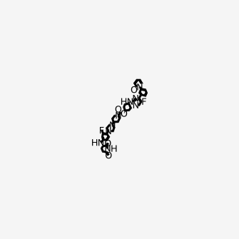 O=C1CCC(Nc2ccc(N3CCN(C4CCN(C(=O)O[C@H]5CC[C@H](Nc6ncc(F)c(-c7cccc(-n8ccccc8=O)c7)n6)CC5)CC4)CC3)c(F)c2)C(=O)N1